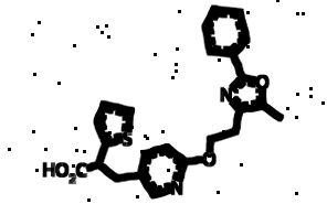 Cc1oc(-c2ccccc2)nc1CCOc1ccc(CC(C(=O)O)c2cccs2)cn1